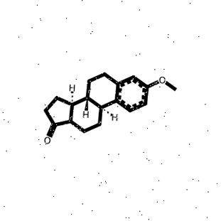 COc1ccc2c(c1)CC[C@@H]1[C@@H]2CCC2C(=O)CC[C@H]21